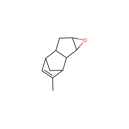 CC1=CC2CC1C1C2CC2OC21